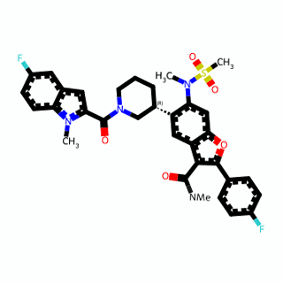 CNC(=O)c1c(-c2ccc(F)cc2)oc2cc(N(C)S(C)(=O)=O)c([C@H]3CCCN(C(=O)c4cc5cc(F)ccc5n4C)C3)cc12